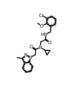 COc1c(Cl)cccc1CNC(=O)CN(C(=O)Cn1nc(C)c2ccccc21)C1CC1